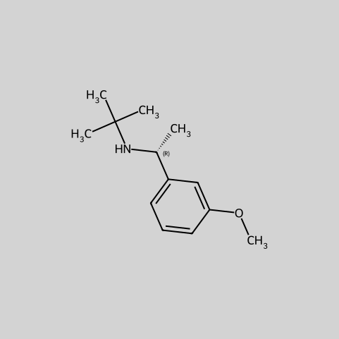 COc1cccc([C@@H](C)NC(C)(C)C)c1